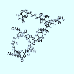 COc1cc2cc(c1Cl)N(C)C(=O)C[C@H](OC(=O)Nc1ccc(NC(=O)[C@H](CCCNC(N)=O)NC(=O)[C@@H](NC(=O)CCCCC(=O)ON3C(=O)CCC3=O)C(C)C)cc1)[C@@H](C)[C@@H](O)[C@H](C)[C@@H]1C[C@@](O)(NC(=O)O1)[C@H](OC)/C=C/C=C(\C)C2